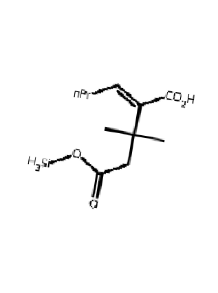 CCCC=C(C(=O)O)C(C)(C)CC(=O)O[SiH3]